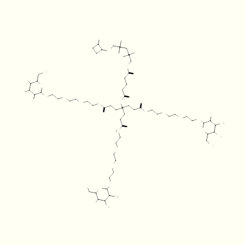 CC(=O)NC1C(OCCOCCOCCNC(=O)CCC(CCC(=O)NCCOCCOCCOC2OC(CO)C(O)C(O)C2NC(C)=O)(CCC(=O)NCCOCCOCCOC2OC(CO)C(O)C(O)C2NC(C)=O)NC(=O)CCCC(=O)NCC(C)(C)CC(C)(C)COC2CCC2C(C)(C)C)OC(CO)C(O)C1O